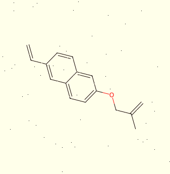 C=Cc1ccc2cc(OCC(=C)C)ccc2c1